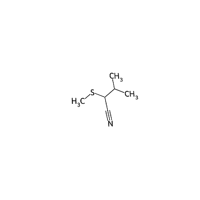 CSC(C#N)C(C)C